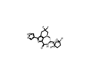 O=C1N[C@@H]([C@@H]2O[C@@H]3CC[C@H]2C3)CN2CC(F)(F)Cc3c(-c4cn[nH]c4)sc1c32